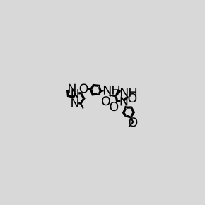 COc1ccc(-n2c(=O)[nH]cc(C(=O)Nc3ccc(Oc4cc(C)nc5ccnn45)cc3)c2=O)cc1